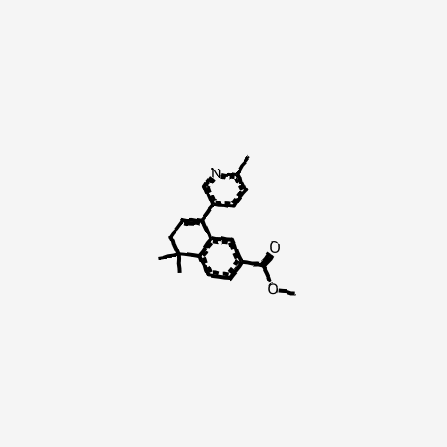 COC(=O)c1ccc2c(c1)C(c1ccc(C)nc1)=CCC2(C)C